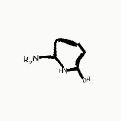 N[C]1C=CC=C(O)N1